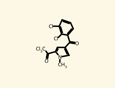 Cn1cc(C(=O)c2cccc(Cl)c2Cl)cc1C(=O)C(Cl)(Cl)Cl